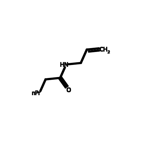 C=CCNC(=O)CCCC